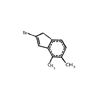 Cc1ccc2c(c1C)C=C(Br)C2